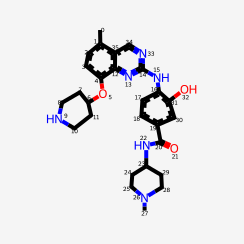 Cc1ccc(OC2CCNCC2)c2nc(Nc3ccc(C(=O)NC4CCN(C)CC4)cc3O)ncc12